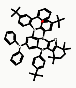 CC(C)(C)c1ccc(N2c3cc(N(c4ccccc4)c4ccccc4)cc4c3B(c3cc(C(C)(C)C)ccc3N4c3ccc(C(C)(C)C)cc3-c3ccccc3)c3oc4c(c32)C(C)(C)CCC4(C)C)cc1